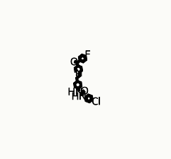 O=C(Nc1ccc(Cl)cc1)NC1CCC(CCN2CCC(C(=O)c3ccc(F)cc3)CC2)CC1